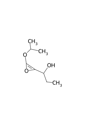 CCC(O)C1=C(OC(C)C)O1